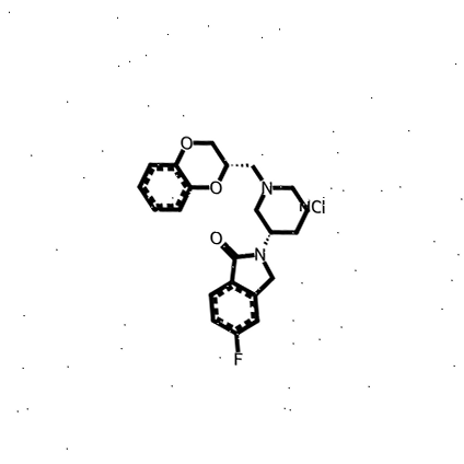 Cl.O=C1c2ccc(F)cc2CN1[C@H]1CCCN(C[C@H]2COc3ccccc3O2)C1